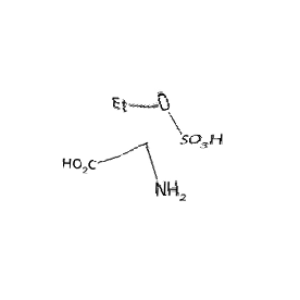 CCOS(=O)(=O)O.NCC(=O)O